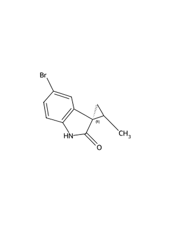 CC1C[C@@]12C(=O)Nc1ccc(Br)cc12